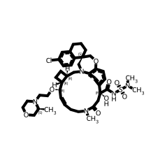 C[C@H]1COCCN1CCO[C@H]1C=CCCN(C)C(=O)C[C@](O)(C(=O)NS(=O)(=O)N(C)C)c2ccc3c(c2)N(C[C@@H]2CC[C@H]21)C[C@@]1(CCCc2cc(Cl)ccc21)CO3